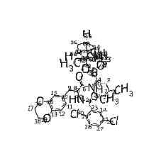 CC(C)C[C@H](NC(=O)[C@H](Cc1ccc2c(c1)OCCO2)NC(=O)c1cc(Cl)ccc1Cl)B1O[C@@H]2C[C@@H]3C[C@@H](C3(C)C)[C@]2(C)O1